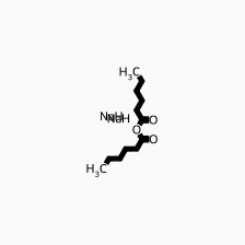 CCCCCC(=O)OC(=O)CCCCC.[NaH].[NaH]